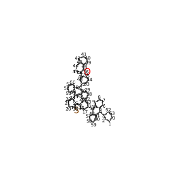 c1ccc(-c2c3ccccc3c(-c3ccc4c(c3)sc3cccc(-c5c6ccccc6c(-c6ccc7oc8c9ccccc9ccc8c7c6)c6ccccc56)c34)c3ccccc23)cc1